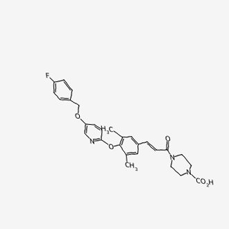 Cc1cc(/C=C/C(=O)N2CCN(C(=O)O)CC2)cc(C)c1Oc1ccc(OCc2ccc(F)cc2)cn1